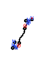 CN(CCOc1ccc(C#CCCCCCCC#Cc2ccc(OCCN(C)c3nc(-c4cccnc4)nc4ccccc34)cc2)cc1)c1nc(-c2cccnc2)nc2ccccc12